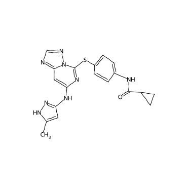 Cc1cc(Nc2cc3ncnn3c(Sc3ccc(NC(=O)C4CC4)cc3)n2)n[nH]1